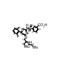 Cc1cccc(C)c1-c1cc(OCC(CC(C)(C)C)NCCC(C)(C)C)nc(NS(=O)(=O)c2cccc(C(=O)O)c2)n1